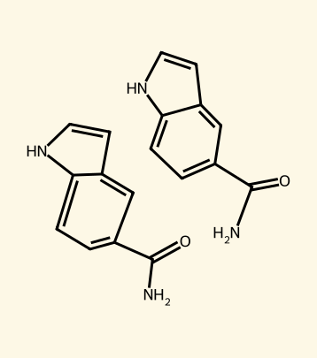 NC(=O)c1ccc2[nH]ccc2c1.NC(=O)c1ccc2[nH]ccc2c1